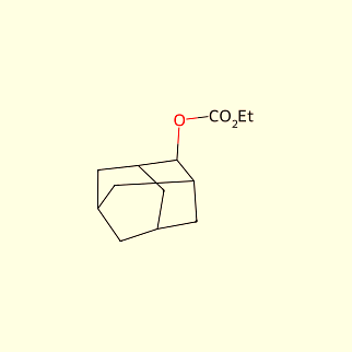 CCOC(=O)OC1C2CC3CC(C2)CC1C3